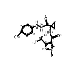 Cn1cc(C(=O)NC2(C(=O)NNc3ccc(Cl)cc3)CC2)c(C(F)F)n1